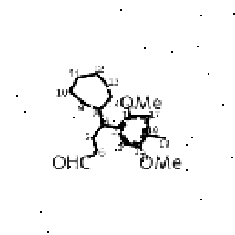 COc1cc(C(CCC=O)C2CCCCCC2)c(OC)cc1C